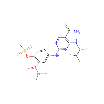 CC(C)[C@@H](C)Nc1nc(Nc2ccc(OS(C)(=O)=O)c(C(=O)N(C)C)c2)ncc1C(N)=O